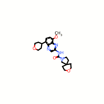 COc1ccc(C2CCOCC2)c2ncc(NC(=O)N3CCC4(CCOCC4)C3)nc12